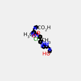 Cc1c(Nc2nccc3cc(CN4CC[C@@H](O)C4)cnc23)cccc1-c1cccc(NC(=O)c2cc(CN3CC[C@@H](C(=O)O)C3)cn(C)c2=O)c1Cl